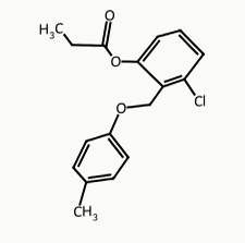 CCC(=O)Oc1cccc(Cl)c1COc1ccc(C)cc1